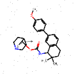 CC1(C)CCc2ccc(-c3ccc(OC(F)(F)F)cc3)cc2C1NC(=O)O[C@H]1CN2CCC1CC2